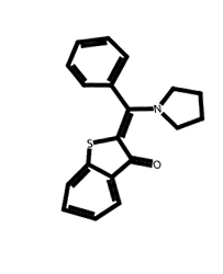 O=C1/C(=C(/c2ccccc2)N2CCCC2)Sc2ccccc21